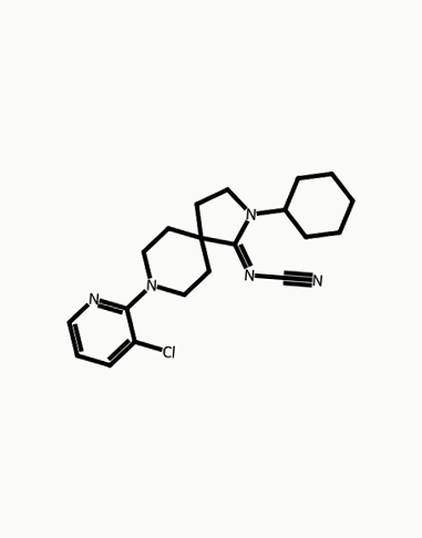 N#CN=C1N(C2CCCCC2)CCC12CCN(c1ncccc1Cl)CC2